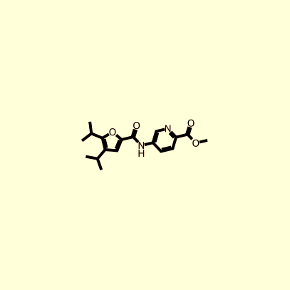 COC(=O)c1ccc(NC(=O)c2cc(C(C)C)c(C(C)C)o2)cn1